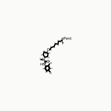 CCCCCN(C)CCCCCCO[C@H]1CC[C@H](N(C)C(=O)Nc2ccc(C)cc2C)CC1